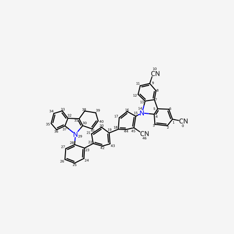 N#Cc1ccc2c(c1)c1cc(C#N)ccc1n2-c1ccc(-c2ccc(-c3ccccc3-n3c4c(c5ccccc53)CCC=C4)cc2)cc1C#N